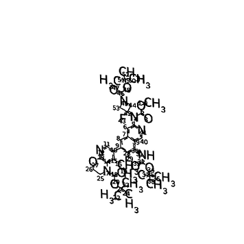 COC(=O)N(c1cc2cc(-c3cnc4c(c3C)N(C(=O)OC(C)(C)C)CCO4)c(F)c(NC(=O)OC(C)(C)C)c2cn1)C1(F)CN(C(=O)OC(C)(C)C)C1